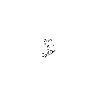 [Al+3].[Co+2].[O-2].[Zn+2]